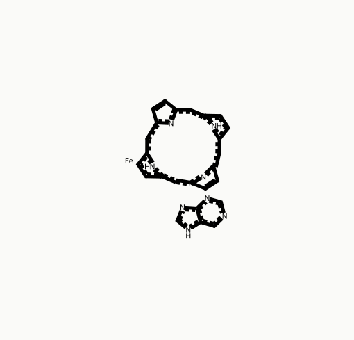 C1=Cc2cc3ccc(cc4nc(cc5ccc(cc1n2)[nH]5)C=C4)[nH]3.[Fe].c1ncc2[nH]cnc2n1